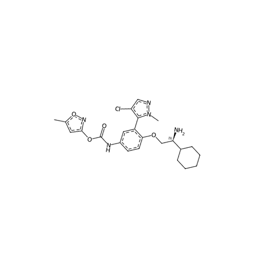 Cc1cc(OC(=O)Nc2ccc(OC[C@@H](N)C3CCCCC3)c(-c3c(Cl)cnn3C)c2)no1